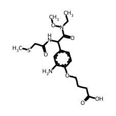 CCN(OC)C(=O)C(NC(=O)CSC)c1ccc(OCCCC(=O)O)c(N)c1